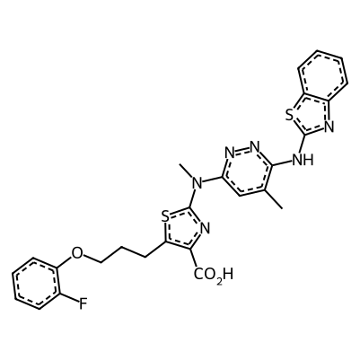 Cc1cc(N(C)c2nc(C(=O)O)c(CCCOc3ccccc3F)s2)nnc1Nc1nc2ccccc2s1